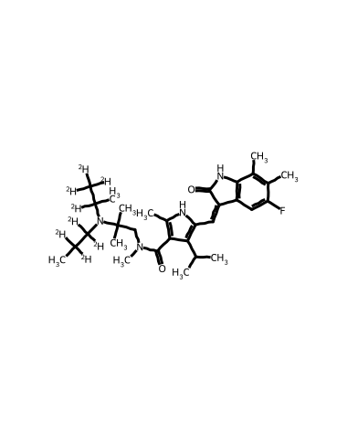 [2H]C([2H])([2H])C([2H])(C)N(C(C)(C)CN(C)C(=O)c1c(C)[nH]c(/C=C2\C(=O)Nc3c2cc(F)c(C)c3C)c1C(C)C)C([2H])([2H])C([2H])([2H])C